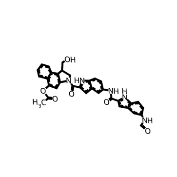 CC(=O)Oc1cc2c(c3ccccc13)C(CO)CN2C(=O)c1cc2cc(NC(=O)c3cc4cc(NC=O)ccc4[nH]3)ccc2[nH]1